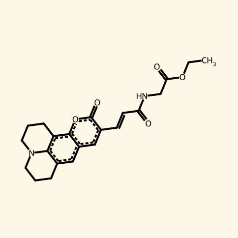 CCOC(=O)CNC(=O)/C=C/c1cc2cc3c4c(c2oc1=O)CCCN4CCC3